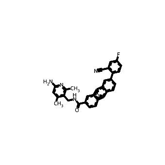 Cc1cc(N)nc(C)c1CNC(=O)c1ccc2c(c1)c1oc2c2ccc(-c3ccc(F)cc3C#N)cc21